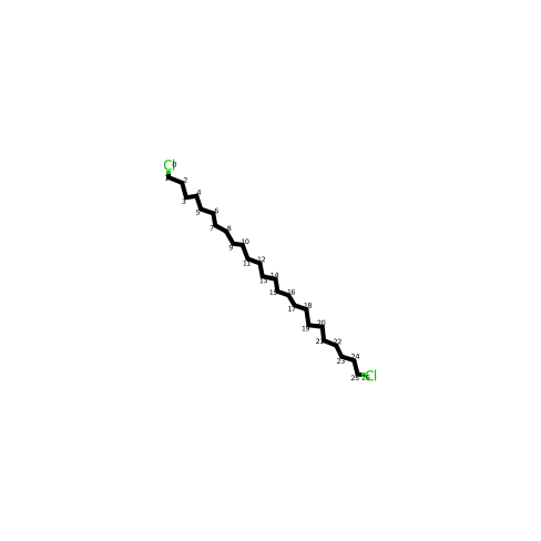 ClCCCCCCCCCCCCCCCCCCCCCCCCCCl